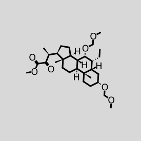 CC[C@H]1[C@@H](OCOC)[C@@H]2[C@H](CC[C@]3(C)[C@@H]([C@H](C)C(=O)C(=O)OC)CC[C@@H]23)[C@@]2(C)CC[C@@H](OCOC)C[C@@H]12